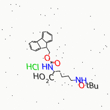 CC(C)(C)ONCCCC[C@H](NC(=O)OCC1c2ccccc2-c2ccccc21)C(=O)O.Cl